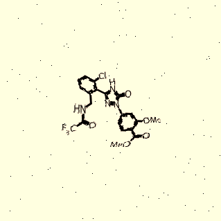 COC(=O)c1ccc(-n2nc(-c3c(Cl)cccc3CNC(=O)C(F)(F)F)[nH]c2=O)cc1OC